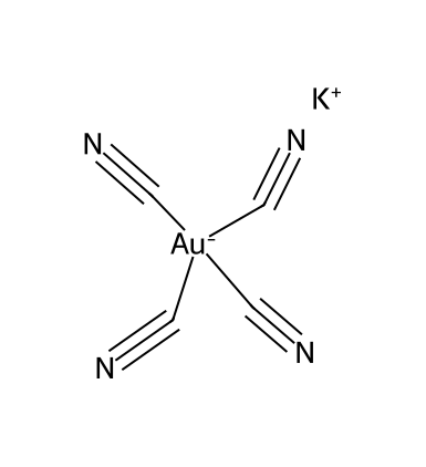 N#[C][Au-]([C]#N)([C]#N)[C]#N.[K+]